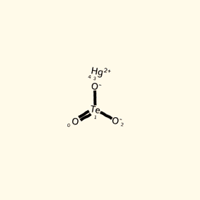 O=[Te]([O-])[O-].[Hg+2]